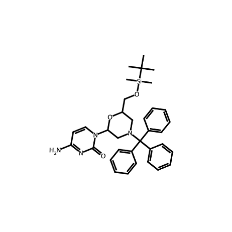 CC(C)(C)[Si](C)(C)OCC1CN(C(c2ccccc2)(c2ccccc2)c2ccccc2)CC(n2ccc(N)nc2=O)O1